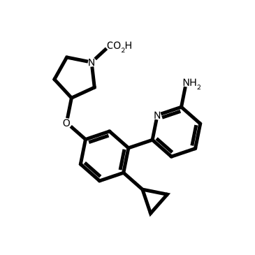 Nc1cccc(-c2cc(OC3CCN(C(=O)O)C3)ccc2C2CC2)n1